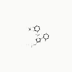 CNCc1cc(-c2ccccc2F)n(S(=O)(=O)c2cccc3c2OC(F)(F)O3)c1.Cl